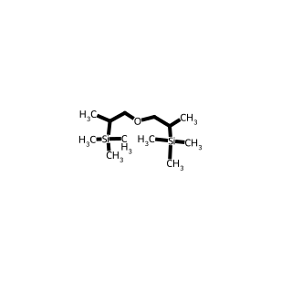 CC(COCC(C)[Si](C)(C)C)[Si](C)(C)C